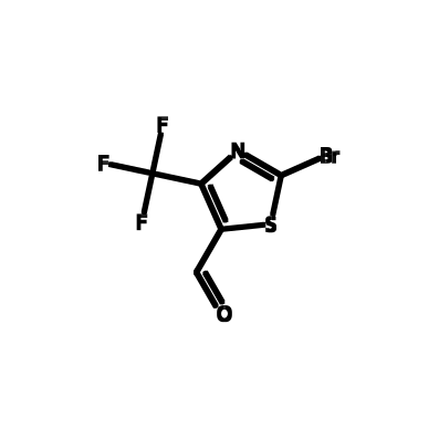 O=Cc1sc(Br)nc1C(F)(F)F